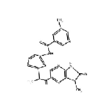 Cc1cncc(C(=O)Nc2cccc(C(C)Nc3cnc4[nH]c(=O)n(C)c4n3)c2)c1